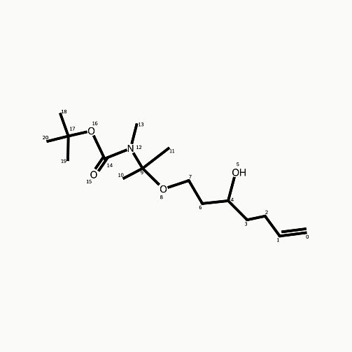 C=CCCC(O)CCOC(C)(C)N(C)C(=O)OC(C)(C)C